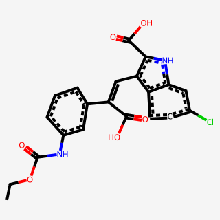 CCOC(=O)Nc1cccc(C(=Cc2c(C(=O)O)[nH]c3cc(Cl)ccc23)C(=O)O)c1